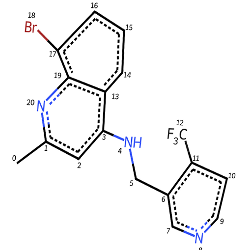 Cc1cc(NCc2cnccc2C(F)(F)F)c2cccc(Br)c2n1